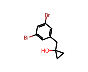 OC1(Cc2cc(Br)cc(Br)c2)CC1